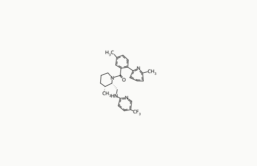 Cc1ccc(-c2cccc(C)n2)c(C(=O)N2CCC[C@@H](C)[C@H]2CNc2ccc(C(F)(F)F)cn2)c1